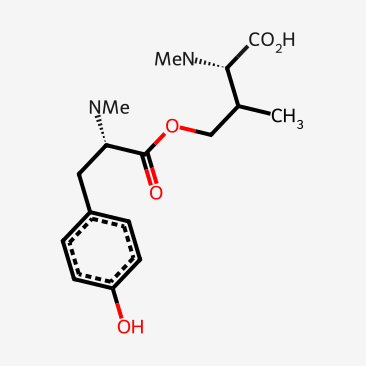 CN[C@@H](Cc1ccc(O)cc1)C(=O)OCC(C)[C@H](NC)C(=O)O